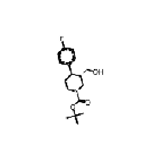 CC(C)(C)OC(=O)N1CCC(c2ccc(F)cc2)[C@H](CO)C1